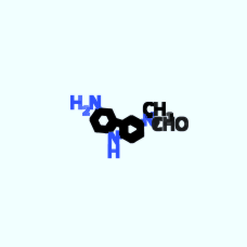 CN(C=O)c1ccc2[nH]c3c(c2c1)CC(N)CC3